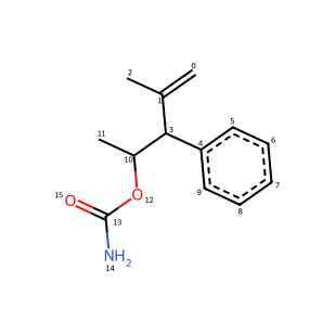 C=C(C)C(c1ccccc1)C(C)OC(N)=O